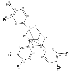 CC(C)c1cc(C23CC4CC(c5ccc(O)c(C(C)C)c5)(C2)CC(c2ccc(O)c(C(C)C)c2)(C4)C3)ccc1O